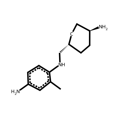 Cc1cc(N)ccc1NC[C@H]1CC[C@H](N)CC1